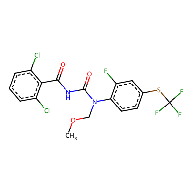 COCN(C(=O)NC(=O)c1c(Cl)cccc1Cl)c1ccc(SC(F)(F)F)cc1F